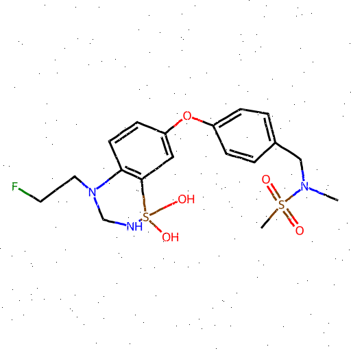 CN(Cc1ccc(Oc2ccc3c(c2)S(O)(O)NCN3CCF)cc1)S(C)(=O)=O